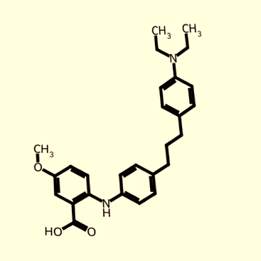 CCN(CC)c1ccc(CCCc2ccc(Nc3ccc(OC)cc3C(=O)O)cc2)cc1